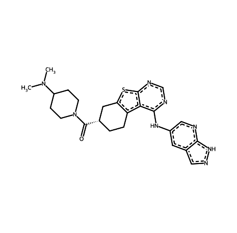 CN(C)C1CCN(C(=O)[C@H]2CCc3c(sc4ncnc(Nc5cnc6[nH]ncc6c5)c34)C2)CC1